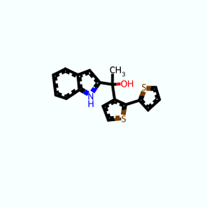 CC(O)(c1cc2ccccc2[nH]1)c1ccsc1-c1cccs1